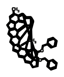 Cc1cc2c3c4c(cc5c6c7c8c9c%10c%11c(cc%12c%13c(c%14c1c3c(c8c64)c%14c9c%11%13)=CC%12)=CC1=CC(=C5)C73CN(C)C(c4ccc(OCc5ccccc5)c(OCc5ccccc5)c4)C1%103)C2